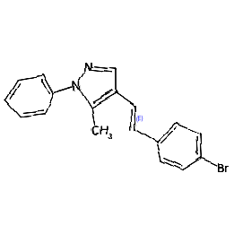 Cc1c(/C=C/c2ccc(Br)cc2)cnn1-c1ccccc1